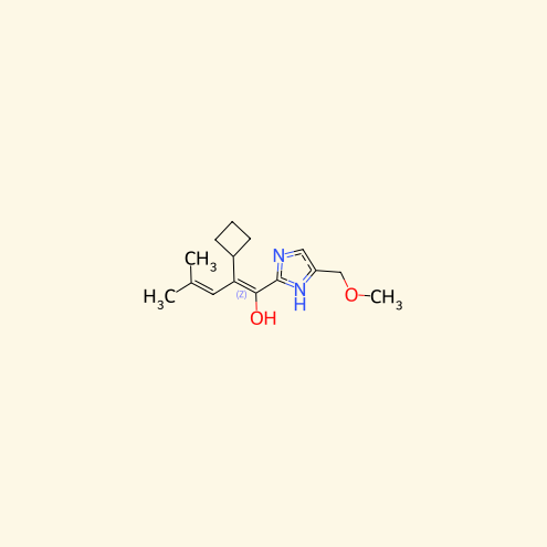 COCc1cnc(/C(O)=C(/C=C(C)C)C2CCC2)[nH]1